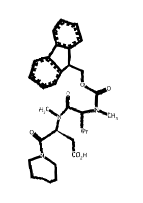 CC(C)C(C(=O)N(C)[C@@H](CC(=O)O)C(=O)N1CCCCC1)N(C)C(=O)OCC1c2ccccc2-c2ccccc21